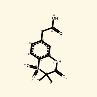 CC1(C)C(=O)Nc2cc(CC(=O)O)ccc2S1(=O)=O